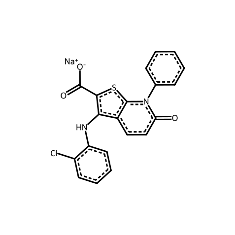 O=C([O-])c1sc2c(ccc(=O)n2-c2ccccc2)c1Nc1ccccc1Cl.[Na+]